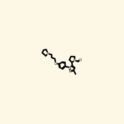 Cc1cc(C2CCCN2C=O)n(-c2ccc(OCCCN3CCCC3)cc2)n1